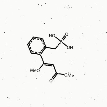 COC(=O)C=C(OC)c1ccccc1CP(=O)(O)O